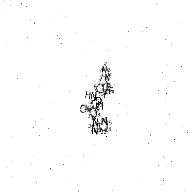 CN1CCN(Cc2ccc(NC(=O)Cc3c(Cl)cc(-n4cnc5cccnc54)cc3Cl)cc2C(F)(F)F)CC1